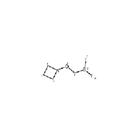 FB(F)COC1CCC1